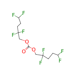 O=C(OCC(F)(F)CCC(F)F)OCC(F)(F)CCC(F)F